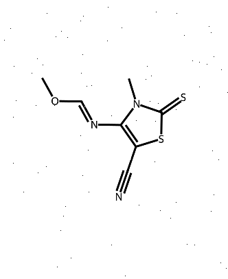 COC=Nc1c(C#N)sc(=S)n1C